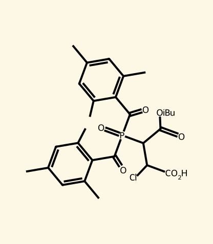 Cc1cc(C)c(C(=O)P(=O)(C(=O)c2c(C)cc(C)cc2C)C(C(=O)OCC(C)C)C(Cl)C(=O)O)c(C)c1